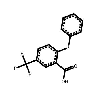 O=C(O)c1cc(C(F)(F)F)ccc1Sc1ccccc1